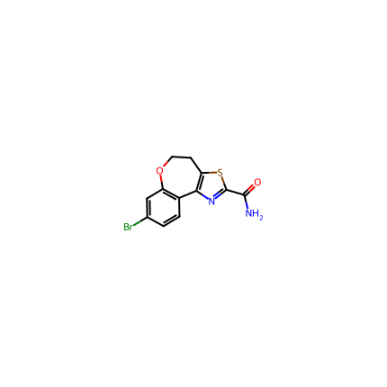 NC(=O)c1nc2c(s1)CCOc1cc(Br)ccc1-2